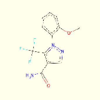 COc1ccccc1-n1ncc(C(N)=O)c1C(F)(F)F